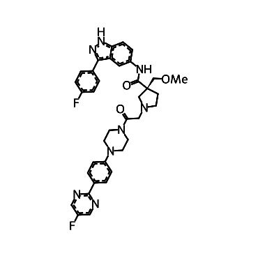 COC[C@@]1(C(=O)Nc2ccc3[nH]nc(-c4ccc(F)cc4)c3c2)CCN(CC(=O)N2CCN(c3ccc(-c4ncc(F)cn4)cc3)CC2)C1